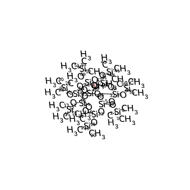 C[Si](C)(C)O[Si]12O[Si]3(O)O[Si]4(O[Si](C)(C)C)O[Si](O[Si](C)(C)C)(O1)O[Si]1(O[Si](C)(C)C)O[Si](O[Si](C)(C)C)(O2)O[Si](O[Si](C)(C)C)(O3)O[Si](O[Si](C)(C)C)(O4)O1